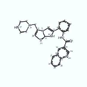 O=C(Nc1ccccc1C1=CN2C(CN3CCNCC3)=CSC2N1)c1cnc2ccccc2c1